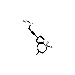 CC1CNS(O)(O)c2ccc(C#CCNC(=O)O)cc2O1